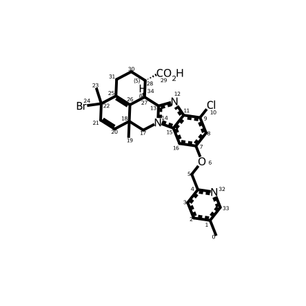 Cc1ccc(COc2cc(Cl)c3nc4n(c3c2)CC2(C)C=CC(C)(Br)C3=C2[C@H]4[C@@H](C(=O)O)CC3)nc1